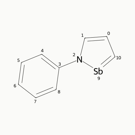 C1=C[N](c2ccccc2)[Sb]=[CH]1